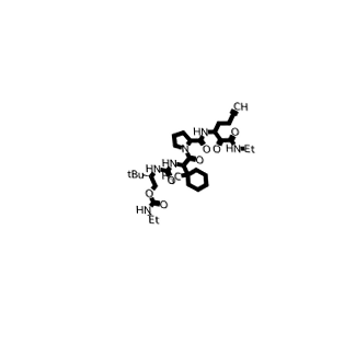 C#CCCC(NC(=O)C1CCCN1C(=O)C(NC(=O)N[C@H](COC(=O)NCC)C(C)(C)C)C1(C)CCCCC1)C(=O)C(=O)NCC